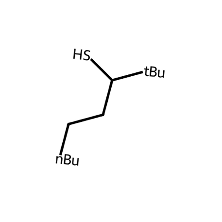 CCCCCCC(S)C(C)(C)C